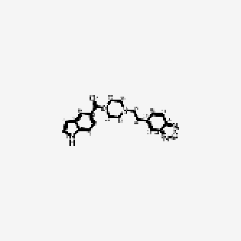 O=C(c1ccc2[nH]ccc2c1)N1CCN(CCc2ccc3nonc3c2)CC1